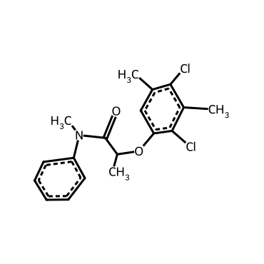 Cc1cc(OC(C)C(=O)N(C)c2ccccc2)c(Cl)c(C)c1Cl